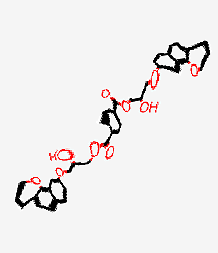 O=C(OCC(O)COc1ccc2ccc3c(c2c1)OC=CC3)c1ccc(C(=O)OCC(O)COc2ccc3ccc4c(c3c2)OC=CC4)cc1